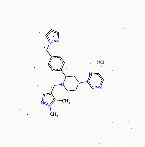 Cc1c(CN2CCN(c3cnccn3)CC2c2ccc(Cn3cccn3)cc2)cnn1C.Cl